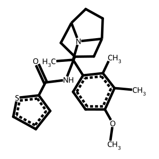 COc1ccc(C(C)N2C3CCC2CC(NC(=O)c2cccs2)C3)c(C)c1C